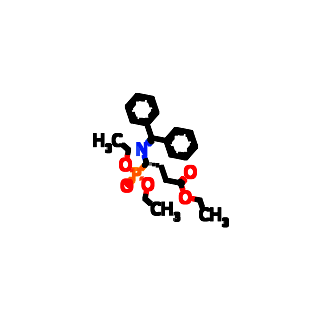 CCOC(=O)CC[C@@H](N=C(c1ccccc1)c1ccccc1)P(=O)(OCC)OCC